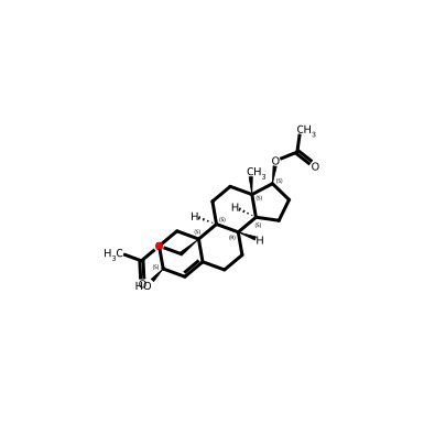 CC(=O)OC[C@]12CC[C@H](O)C=C1CC[C@@H]1[C@@H]2CC[C@]2(C)[C@@H](OC(C)=O)CC[C@@H]12